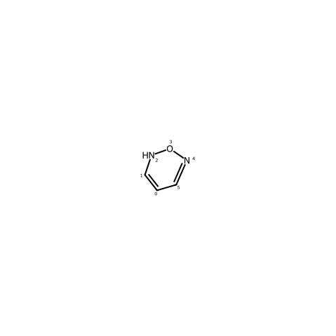 C1=CNON=C1